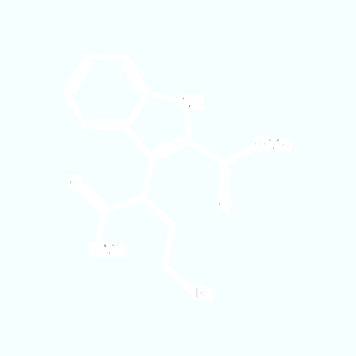 CCC(C)CCC(C(=O)OC)c1c(C(=O)OC)[nH]c2ccccc12